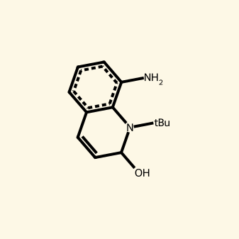 CC(C)(C)N1c2c(N)cccc2C=CC1O